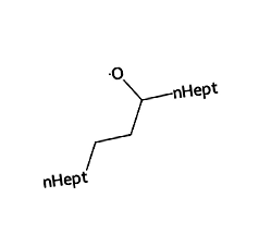 CCCCCCCCCC([O])CCCCCCC